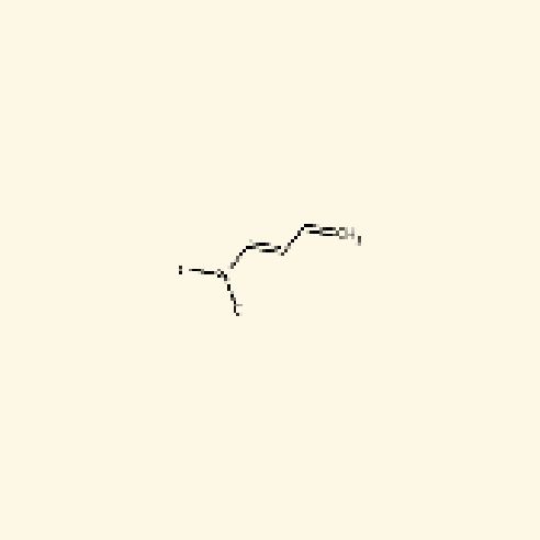 C=C/C=[CH]/[Pd]([Cl])[Cl]